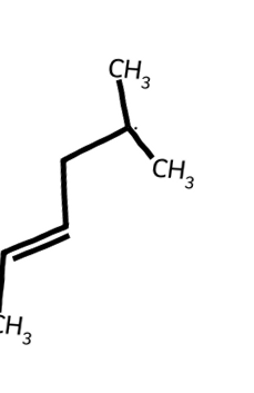 CC=CC[C](C)C